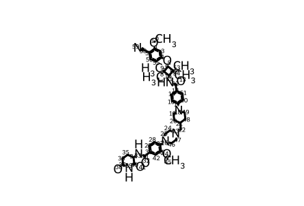 COc1cc(O[C@H]2C(C)(C)[C@H](NC(=O)c3ccc(N4CCC(CN5CCN(c6ccc(C(=O)NC7CCC(=O)NC7=O)cc6OC)CC5)CC4)cc3)C2(C)C)ccc1C#N